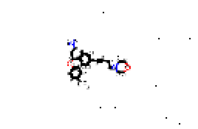 CN(C)CCC(Oc1ccc(C(F)(F)F)cc1)c1ccc(C#CCCN2CCOCC2)cc1